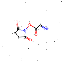 N=CC(=O)ON1C(=O)CCC1=O